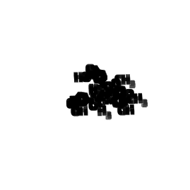 COc1cc(OC)cc(C(CC(=O)O)NC(=O)[C@@H](NC(=O)c2ccc3c(c2)B(O)OC3)[C@H](C)NC(=O)c2ccc3c(c2)B(O)OC3)c1